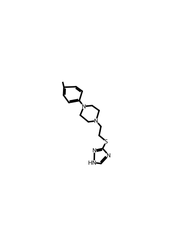 Cc1ccc(N2CCN(CCSc3nc[nH]n3)CC2)cc1